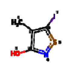 Cc1c(O)nsc1I